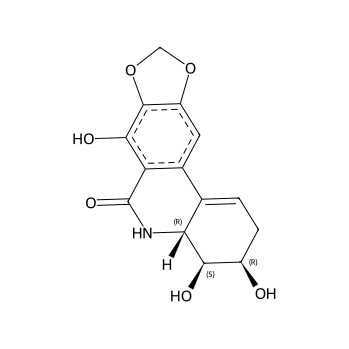 O=C1N[C@@H]2C(=CC[C@@H](O)[C@H]2O)c2cc3c(c(O)c21)OCO3